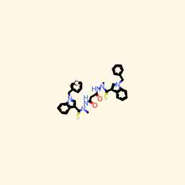 CN(NC(=O)CC(=O)NN(C)C(=S)c1cn(Cc2ccccc2)c2ccccc12)C(=S)c1cn(Cc2ccccc2)c2ccccc12